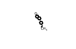 CCC[C@H]1CC[C@H](C2CCC3=CC(=O)CCC3C2)CC1